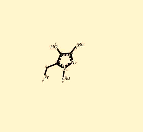 CCCCn1nc(C(C)(C)C)c(O)c1CC(C)C